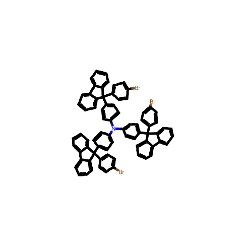 Brc1ccc(C2(c3ccc(N(c4ccc(C5(c6ccc(Br)cc6)c6ccccc6-c6ccccc65)cc4)c4ccc(C5(c6ccc(Br)cc6)c6ccccc6-c6ccccc65)cc4)cc3)c3ccccc3-c3ccccc32)cc1